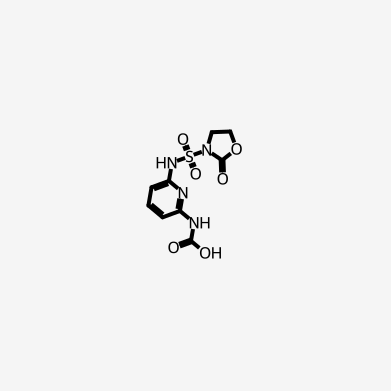 O=C(O)Nc1cccc(NS(=O)(=O)N2CCOC2=O)n1